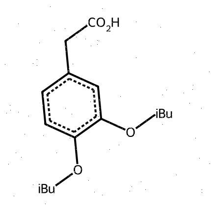 CCC(C)Oc1ccc(CC(=O)O)cc1OC(C)CC